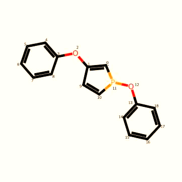 [c]1c(Oc2ccccc2)ccp1Oc1ccccc1